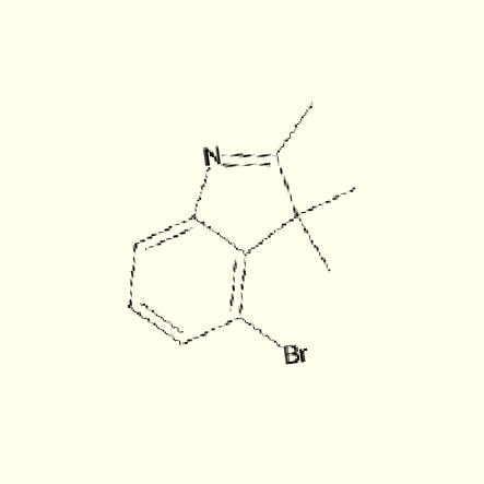 CC1=Nc2cccc(Br)c2C1(C)C